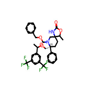 CC(OC[C@@]1(c2ccccc2)CCC2(CN1C(=O)OCc1ccccc1)NC(=O)OC2C)c1cc(C(F)(F)F)cc(C(F)(F)F)c1